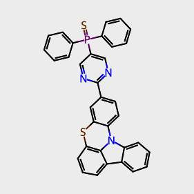 S=P(c1ccccc1)(c1ccccc1)c1cnc(-c2ccc3c(c2)Sc2cccc4c5ccccc5n-3c24)nc1